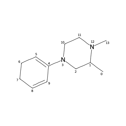 CC1CN(C2=CCCC=C2)CCN1C